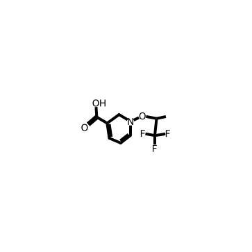 CC(ON1C=CC=C(C(=O)O)C1)C(F)(F)F